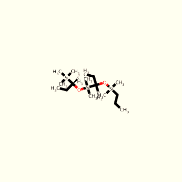 CCC[Si](C)(C)OC(C)(CC)[Si](C)(C)O[C@](C)(CC)[Si](C)(C)C